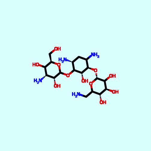 NCC1O[C@H](O[C@@H]2C(N)C[C@@H](N)C(OC3O[C@H](CO)C(O)[C@@H](N)[C@H]3O)[C@H]2O)C(O)[C@@H](O)[C@@H]1O